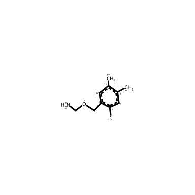 Cc1cc(Cl)c(COCN)cc1C